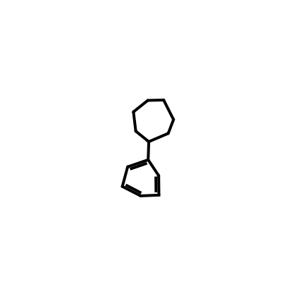 c1ccc([C]2CCCCCC2)cc1